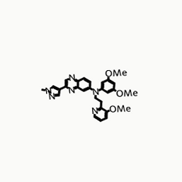 COc1cc(OC)cc(N(CCc2ncccc2OC)c2ccc3ncc(-c4cnn(C)c4)nc3c2)c1